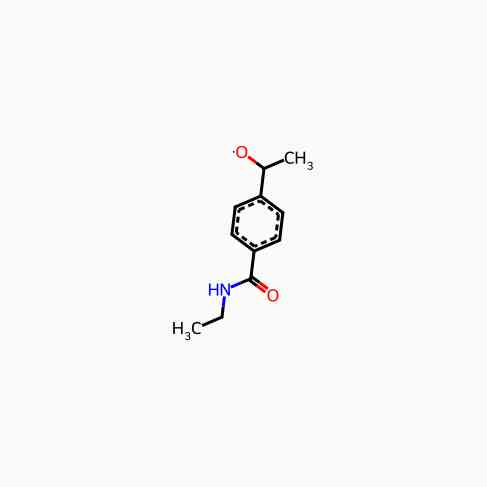 CCNC(=O)c1ccc(C(C)[O])cc1